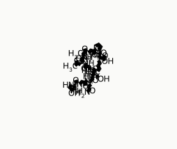 CCCCC[C@H](NC(=O)[C@@H]1CCCN1C(=O)CNC(=O)[C@H](C)NC(=O)[C@H](CC(C)C)NC(=O)CNC(=O)[C@H](CCO)NC(=O)[C@H](CCC(N)=O)NC(=O)CNC(=O)[C@@H]1C[C@@H](O)CN1)C(=O)O